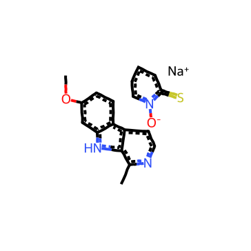 COc1ccc2c(c1)[nH]c1c(C)nccc12.[Na+].[O-]n1ccccc1=S